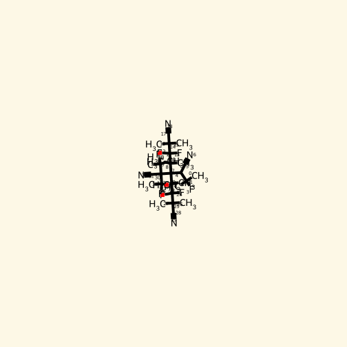 CC(C)(F)C(C#N)C(C(C)(C)C(F)(F)C(C)(C)C#N)(C(C)(C)C(F)(F)C(C)(C)C#N)C(C#N)(C(C)(C)F)C(C)(C)F